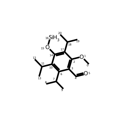 COc1c(C=O)c(C(C)C)c(C(C)C)c(O[SiH3])c1C(C)C